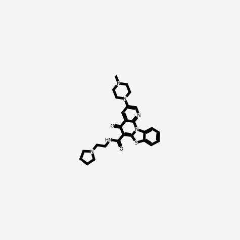 CN1CCN(c2cnc3c(c2)c(=O)c(C(=O)NCCN2CCCC2)c2sc4ccccc4n23)CC1